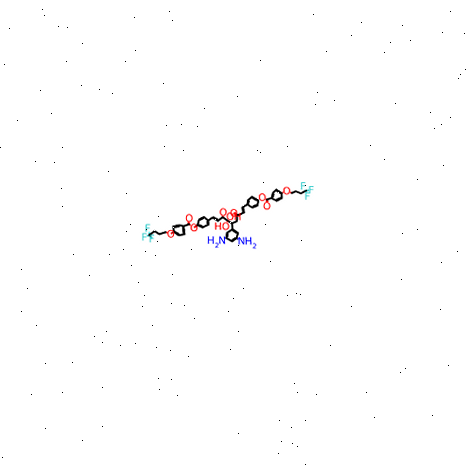 Nc1cc(N)cc(C(CC(=O)C=Cc2ccc(OC(=O)c3ccc(OCCCC(F)(F)F)cc3)cc2)C(O)(O)C(=O)C=Cc2ccc(OC(=O)c3ccc(OCCCC(F)(F)F)cc3)cc2)c1